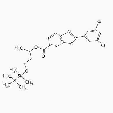 CC(CCO[Si](C)(C)C(C)(C)C)OC(=O)c1ccc2nc(-c3cc(Cl)cc(Cl)c3)oc2c1